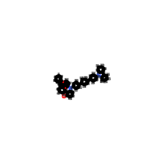 c1ccc(-c2ccc(N(c3ccc(-c4ccc(-c5ccc(-n6c7ccccc7c7ccccc76)cc5)cc4)cc3)c3cccc4oc5ccc6ccccc6c5c34)cc2)cc1